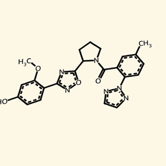 COc1cc(O)ccc1-c1noc(C2CCCN2C(=O)c2cc(C)ccc2-n2nccn2)n1